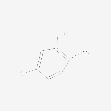 COc1ccc(Cl)cc1[C]=O